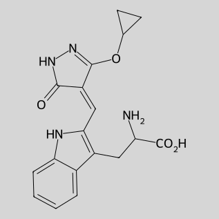 NC(Cc1c(/C=C2\C(=O)NN=C2OC2CC2)[nH]c2ccccc12)C(=O)O